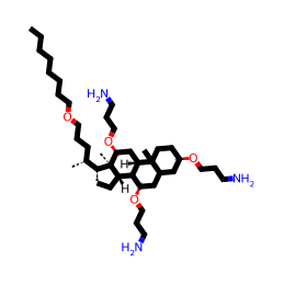 CCCCCCCCOCCC[C@@H](C)[C@H]1CC[C@H]2C3[C@H](OCCCN)CC4C[C@H](OCCCN)CCC4(C)[C@H]3C[C@H](OCCCN)[C@]12C